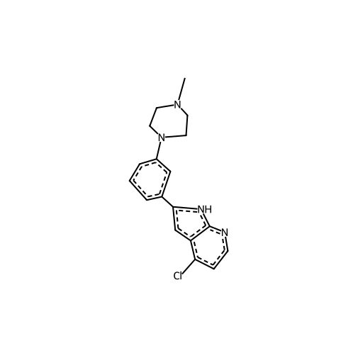 CN1CCN(c2cccc(-c3cc4c(Cl)ccnc4[nH]3)c2)CC1